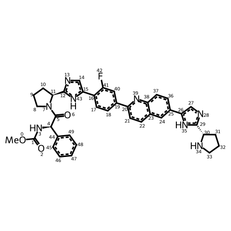 COC(=O)N[C@@H](C(=O)N1CCC[C@H]1c1ncc(-c2ccc(-c3ccc4cc(-c5cnc([C@@H]6CCCN6)[nH]5)ccc4n3)cc2F)[nH]1)c1ccccc1